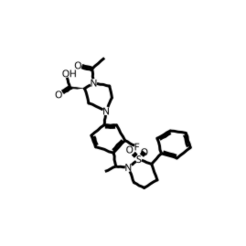 CC(=O)N1CCN(c2ccc(C(C)N3CCCC(c4ccccc4)S3(=O)=O)c(F)c2)C[C@H]1C(=O)O